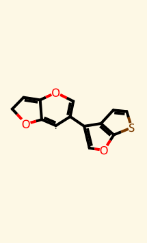 [C]1=C2OCC=C2OC=C1c1coc2sccc12